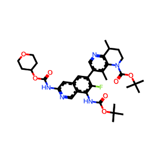 Cc1c(-c2cc3cc(NC(=O)OC4CCOCC4)ncc3c(NC(=O)OC(C)(C)C)c2F)cnc2c1N(C(=O)OC(C)(C)C)CCC2C